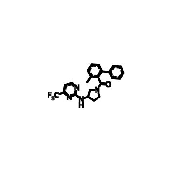 Cc1cccc(-c2ccccc2)c1C(=O)N1CCC(Nc2nccc(C(F)(F)F)n2)C1